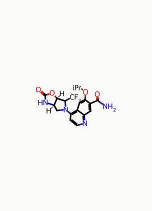 CC(C)Oc1cc2c(N3C[C@H]4NC(=O)O[C@H]4C3C(F)(F)F)ccnc2cc1C(N)=O